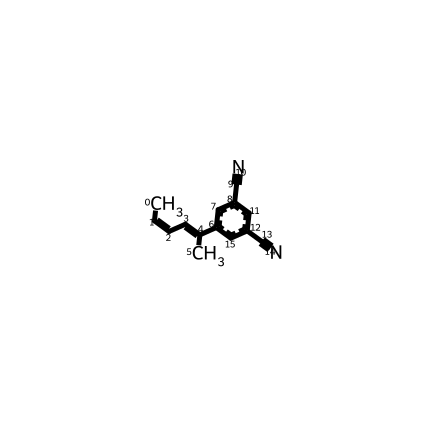 C/C=C\C=C(/C)c1cc(C#N)cc(C#N)c1